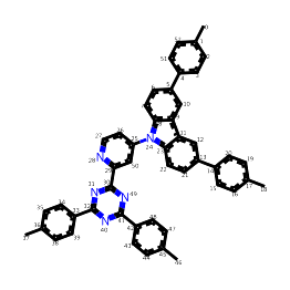 Cc1ccc(-c2ccc3c(c2)c2cc(-c4ccc(C)cc4)ccc2n3-c2ccnc(-c3nc(-c4ccc(C)cc4)nc(-c4ccc(C)cc4)n3)c2)cc1